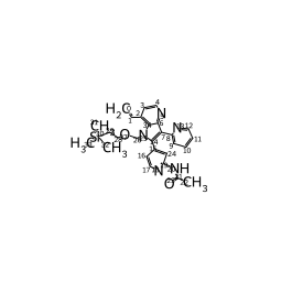 C=Cc1ccnc2c(-c3ccccn3)c(-c3ccnc(NC(C)=O)c3)n(COCC[Si](C)(C)C)c12